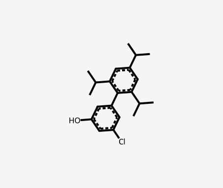 CC(C)c1cc(C(C)C)c(-c2cc(O)cc(Cl)c2)c(C(C)C)c1